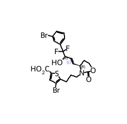 O=C(O)c1cc(Br)c(CCCN2C(=O)OCC[C@@H]2/C=C/[C@@H](O)C(F)(F)c2cccc(Br)c2)s1